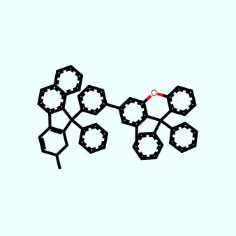 Cc1cc(-c2cccc(C3(c4ccccc4)C4=C(C=CC(C)C4)c4ccc5ccccc5c43)c2)cc2c1C(c1ccccc1)(c1ccccc1)c1ccccc1O2